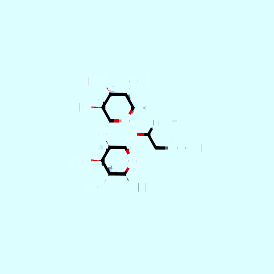 CCCCCCCC(CC(=O)O)O[C@@H]1O[C@@H](C)[C@H](O)[C@@H](O)[C@H]1O[C@H]1O[C@@H](C)[C@@H](O)[C@H](O)[C@@H]1O